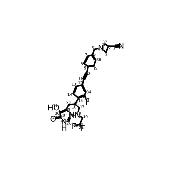 N#CC1CN(Cc2ccc(C#Cc3ccc([C@@H](CNCC(F)F)Cc4nc[nH]c(=O)c4O)c(F)c3)cc2)C1